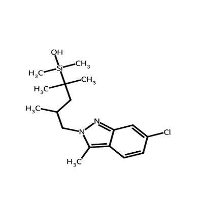 Cc1c2ccc(Cl)cc2nn1CC(C)CC(C)(C)[Si](C)(C)O